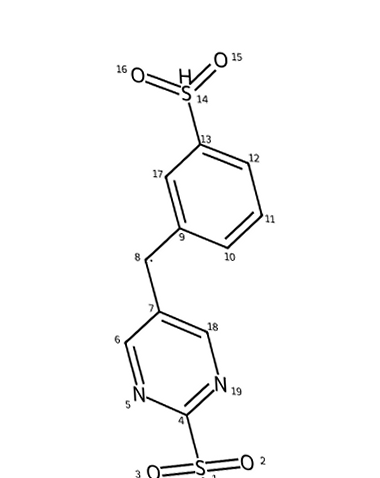 CS(=O)(=O)c1ncc([CH]c2cccc([SH](=O)=O)c2)cn1